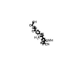 C#CC(=O)N1CC(F)(C(=O)N2CCC(n3ncc(-c4cc(OC)c5c(C#N)cnn5c4)c3C)CC2)C1